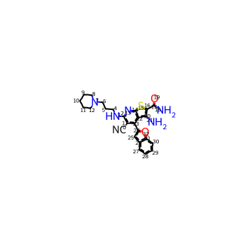 N#Cc1c(NCCCN2CCCCC2)nc2sc(C(N)=O)c(N)c2c1-c1cc2ccccc2o1